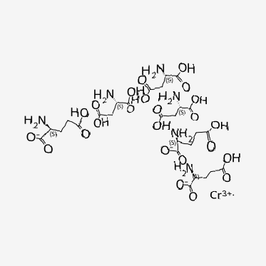 N[C@@H](CC(=O)O)C(=O)O.N[C@@H](CC(=O)O)C(=O)O.N[C@@H](CC(=O)O)C(=O)O.N[C@@H](CCC(=O)O)C(=O)[O-].N[C@@H](CCC(=O)O)C(=O)[O-].N[C@@H](CCC(=O)O)C(=O)[O-].[Cr+3]